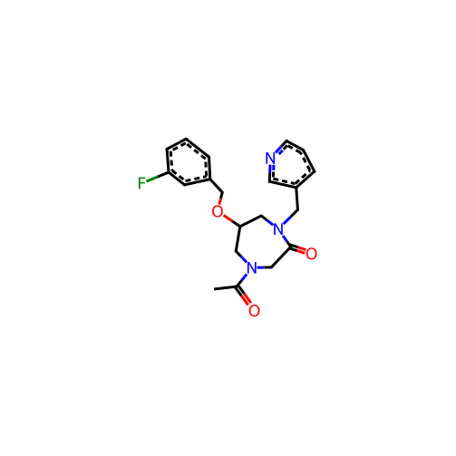 CC(=O)N1CC(=O)N(Cc2cccnc2)CC(OCc2cccc(F)c2)C1